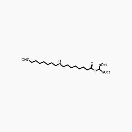 CCCCCCCCC(CCCCCCCC)OC(=O)CCCCCCCNCCCCCCCC=O